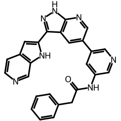 O=C(Cc1ccccc1)Nc1cncc(-c2cnc3[nH]nc(-c4cc5ccncc5[nH]4)c3c2)c1